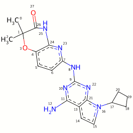 CC1(C)Oc2ccc(Nc3nc(N)c4ccn(C5CCC5)c4n3)nc2NC1=O